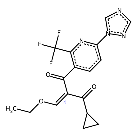 CCO/C=C(\C(=O)c1ccc(-n2cncn2)nc1C(F)(F)F)C(=O)C1CC1